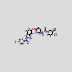 CN(C(=O)c1ccc(Cl)c(Cl)c1)c1ccc(Oc2ccc3cc(C(=O)N4CCNCC4)n(C)c3c2)nc1